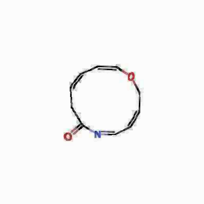 O=C1CC=CC=COCC=CC=N1